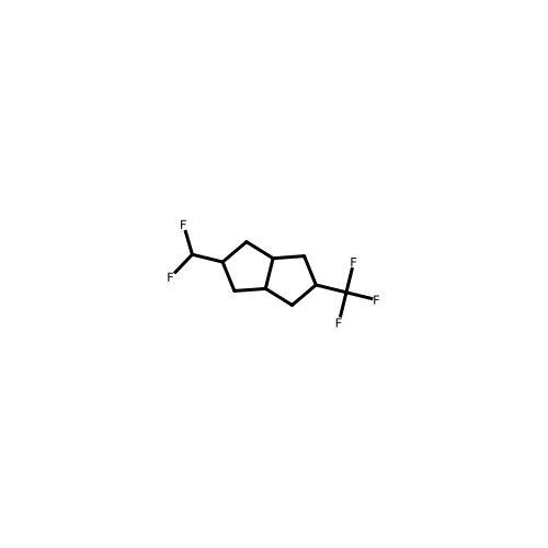 FC(F)C1CC2CC(C(F)(F)F)CC2C1